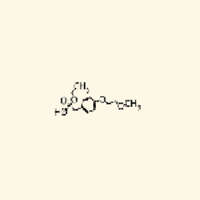 CCOP(=O)(O)Cc1ccc(OCCOC)cc1